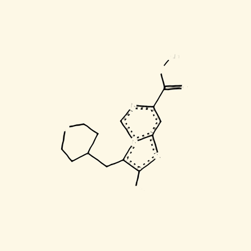 CCCOC(=O)c1cc2nc(C(C)(C)C)c(CC3CCOCC3)n2cn1